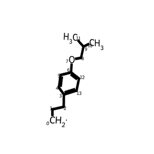 [CH2]CCc1ccc(OCC(C)C)cc1